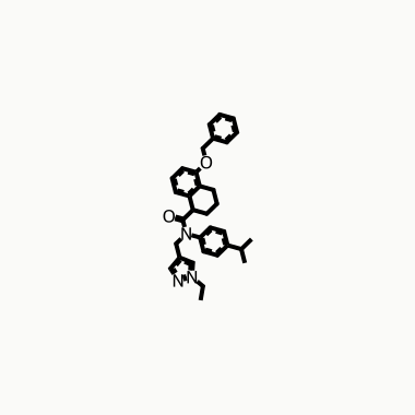 CCn1cc(CN(C(=O)C2CCCc3c(OCc4ccccc4)cccc32)c2ccc(C(C)C)cc2)cn1